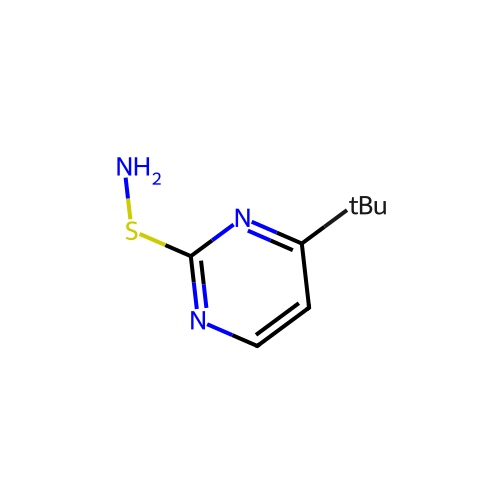 CC(C)(C)c1ccnc(SN)n1